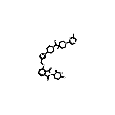 Cc1cncc(N2CCC(C)(C(=O)N3CCC(n4cc(CNc5cccc6c5C(=O)N(C5CCC(=O)NC5=O)C6=O)cn4)CC3)CC2)n1